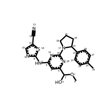 COC(O)c1cc(Nc2ncc(C#N)s2)nc(N2CCCC2c2ccc(C)cc2)n1